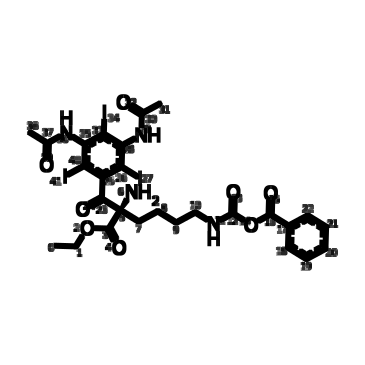 CCOC(=O)[C@@](N)(CCCCNC(=O)OC(=O)c1ccccc1)C(=O)c1c(I)c(NC(C)=O)c(I)c(NC(C)=O)c1I